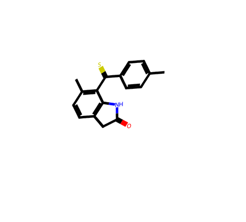 Cc1ccc(C(=S)c2c(C)ccc3c2NC(=O)C3)cc1